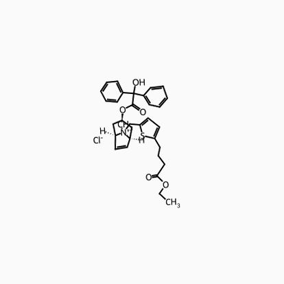 CCOC(=O)CCCc1ccc(C[N+]2(C)[C@@H]3C=C[C@H]2C[C@@H](OC(=O)C(O)(c2ccccc2)c2ccccc2)C3)s1.[Cl-]